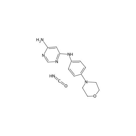 N=C=O.Nc1cc(Nc2ccc(N3CCOCC3)cc2)ncn1